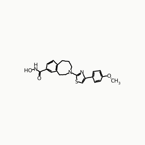 COc1ccc(-c2csc(N3CCCc4ccc(C(=O)NO)cc4CC3)n2)cc1